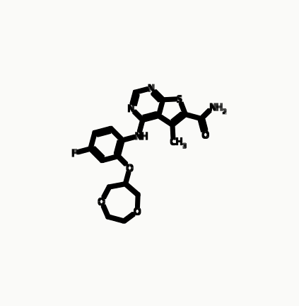 Cc1c(C(N)=O)sc2ncnc(Nc3ccc(F)cc3OC3COCCOC3)c12